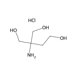 Cl.NC(CO)(CO)CCO